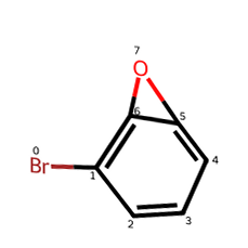 Brc1cccc2c1O2